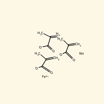 C=C(C)C(=O)[O-].C=C(C)C(=O)[O-].C=C(C)C(=O)[O-].[Fe+3].[KH]